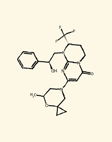 CC1CN(c2cc(=O)n3c(n2)N(C[C@@H](O)c2ccccc2)[C@H](C(F)(F)F)CC3)CC2(CC2)O1